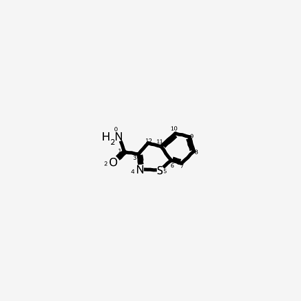 NC(=O)C1=NSc2ccccc2C1